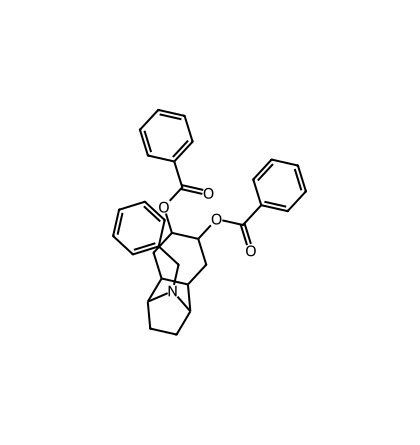 O=C(OC1CC2C(CC1OC(=O)c1ccccc1)C1CCC2N1Cc1ccccc1)c1ccccc1